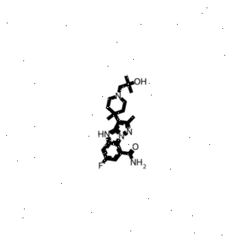 Cc1nn2c([nH]c3cc(F)cc(C(N)=O)c32)c1C1(C)CCN(CC(C)(C)O)CC1